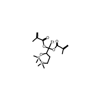 C=C(C)C(=O)OC(CC)(OC(=O)C(=C)C)C1CC[Si](C)(C)[Si](C)(C)O1